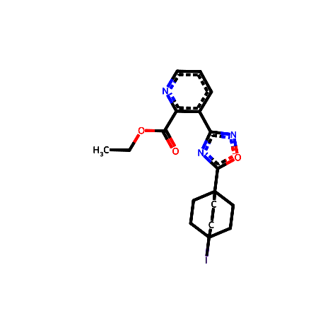 CCOC(=O)c1ncccc1-c1noc(C23CCC(I)(CC2)CC3)n1